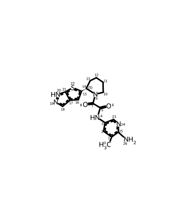 Cc1cc(NC(=O)C(=O)N2CCCC[C@H]2c2cc3cn[nH]c3s2)cnc1N